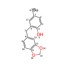 CC(C)(C)c1ccc(O)c(Cc2ccc3c(c2)OCO3)c1